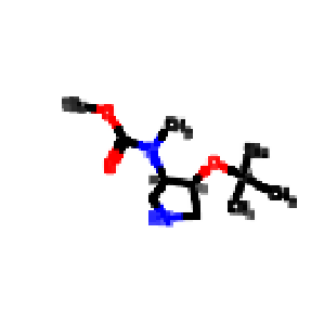 CN(C(=O)OC(C)(C)C)[C@@H]1CNC[C@@H]1O[Si](C)(C)C(C)(C)C